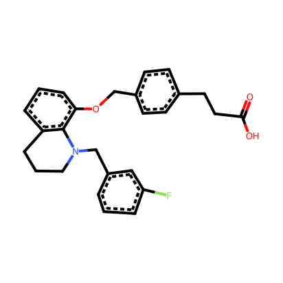 O=C(O)CCc1ccc(COc2cccc3c2N(Cc2cccc(F)c2)CCC3)cc1